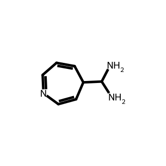 NC(N)C1C=CC=NC=C1